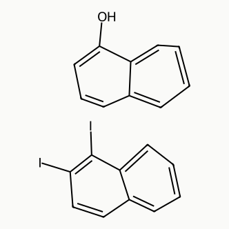 Ic1ccc2ccccc2c1I.Oc1cccc2ccccc12